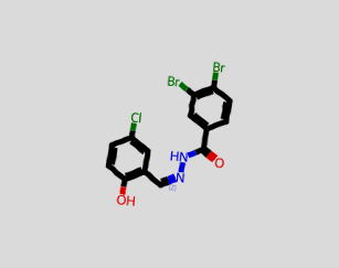 O=C(N/N=C\c1cc(Cl)ccc1O)c1ccc(Br)c(Br)c1